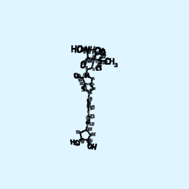 C[C@@](CCN1Cc2cc(C#CC#CC3C[C@@H](O)[C@@H](O)C3)sc2C1=O)(C(=O)NO)S(C)(=O)=O